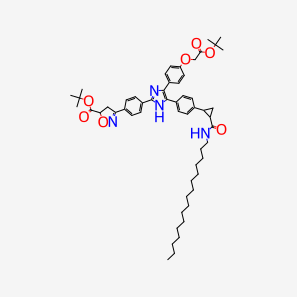 CCCCCCCCCCCCCCCCNC(=O)C1CC1c1ccc(-c2[nH]c(-c3ccc(C4=NOC(C(=O)OC(C)(C)C)C4)cc3)nc2-c2ccc(OCC(=O)OC(C)(C)C)cc2)cc1